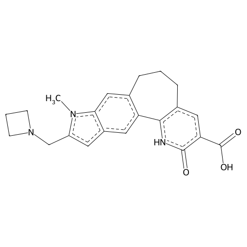 Cn1c(CN2CCC2)cc2cc3c(cc21)CCCc1cc(C(=O)O)c(=O)[nH]c1-3